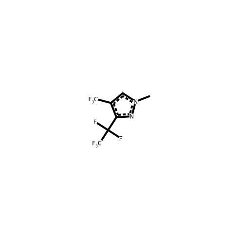 Cn1[c]c(C(F)(F)F)c(C(F)(F)C(F)(F)F)n1